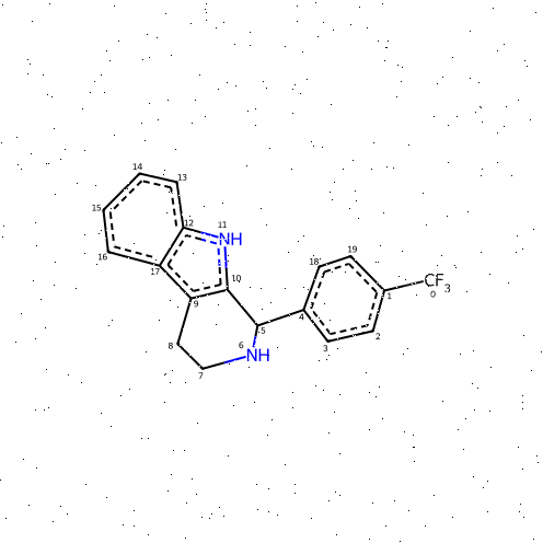 FC(F)(F)c1ccc(C2NCCc3c2[nH]c2ccccc32)cc1